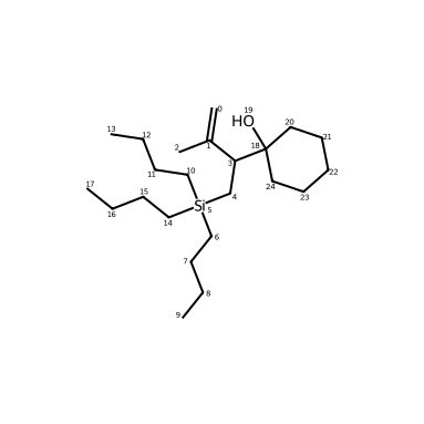 C=C(C)C(C[Si](CCCC)(CCCC)CCCC)C1(O)CCCCC1